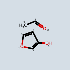 CC=O.Oc1ccoc1